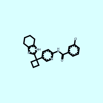 O=C(Nc1ccc(C2(c3nc4c([nH]3)CCCC4)CCC2)cn1)c1cccc(Cl)c1